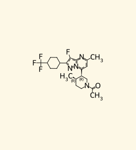 CC(=O)N1CC[C@@H](C)[C@@H](c2cc(C)nc3c(F)c(C4CCC(C(F)(F)F)CC4)nn23)C1